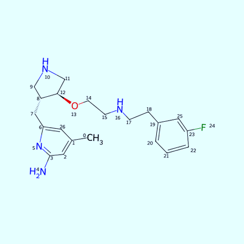 Cc1cc(N)nc(C[C@@H]2CNC[C@H]2OCCNCCc2cccc(F)c2)c1